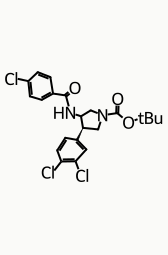 CC(C)(C)OC(=O)N1CC(NC(=O)c2ccc(Cl)cc2)[C@H](c2ccc(Cl)c(Cl)c2)C1